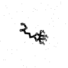 CC(C)(C)OC(=O)CCCB1OC(C)(C)C(C)(C)O1